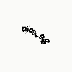 c1ccc(C(NC[C@@H]2C[C@H]2COCc2ccc(-c3nc4ccccc4o3)cc2)(c2ccccc2)c2ccccc2)cc1